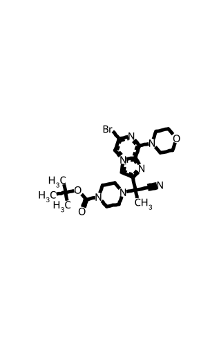 CC(C)(C)OC(=O)N1CCN(C(C)(C#N)c2cn3cc(Br)nc(N4CCOCC4)c3n2)CC1